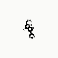 Cl.NCc1cc(=O)c2cc(-c3cncnc3)ccc2[nH]1